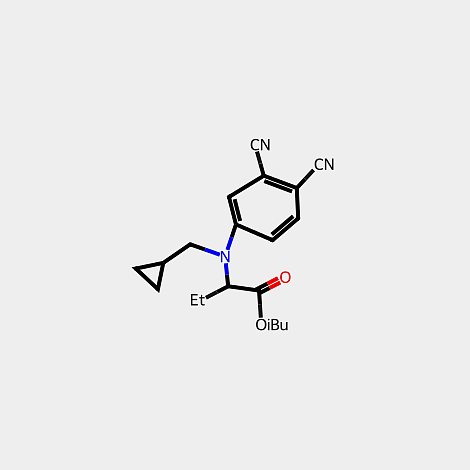 CCC(C(=O)OCC(C)C)N(CC1CC1)c1ccc(C#N)c(C#N)c1